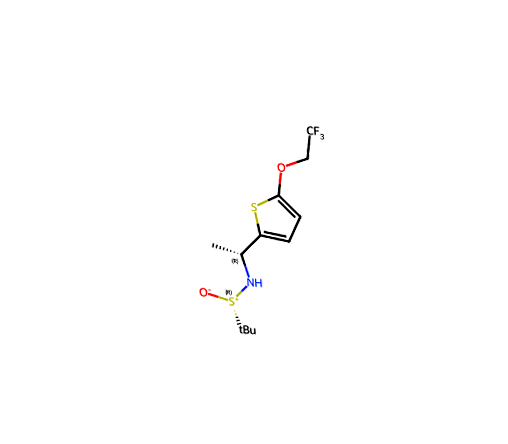 C[C@@H](N[S@@+]([O-])C(C)(C)C)c1ccc(OCC(F)(F)F)s1